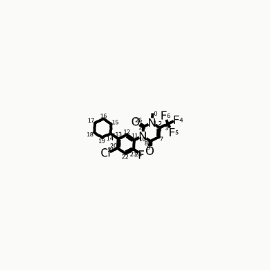 Cn1c(C(F)(F)F)cc(=O)n(-c2cc([C]3CCCCC3)c(Cl)cc2F)c1=O